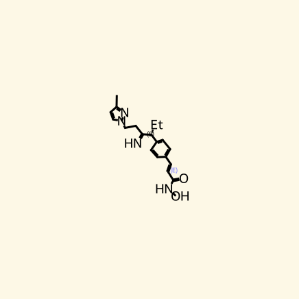 CC[C@H](C(=N)CCn1ccc(C)n1)c1ccc(/C=C/C(=O)NO)cc1